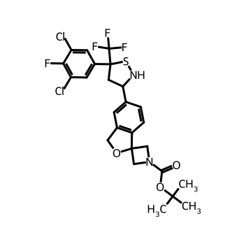 CC(C)(C)OC(=O)N1CC2(C1)OCc1cc(C3CC(c4cc(Cl)c(F)c(Cl)c4)(C(F)(F)F)SN3)ccc12